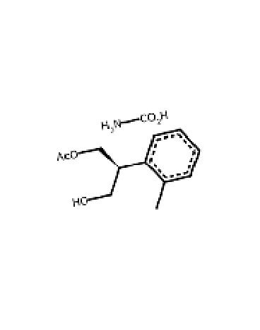 CC(=O)OC[C@H](CO)c1ccccc1C.NC(=O)O